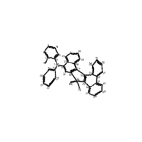 Cc1ccccc1N(c1ccccc1)c1cc2c(c3ccccc13)-c1c(c3ccccc3c3ccccc13)C2(C)C